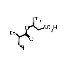 CCC(CI)C(=O)OC(CS(=O)(=O)O)C(F)(F)F